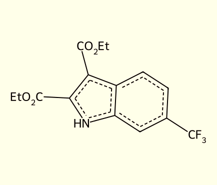 CCOC(=O)c1[nH]c2cc(C(F)(F)F)ccc2c1C(=O)OCC